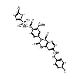 COc1cc(-n2c(=O)[nH]c3cc(NCc4ccc(F)cc4)ccc3c2=O)ccc1C(=O)NS(=O)(=O)c1ccc(Cl)s1